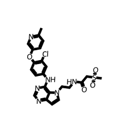 Cc1ccc(Oc2ccc(Nc3ncnc4ccn(CCNC(=O)CS(C)(=O)=O)c34)cc2Cl)cn1